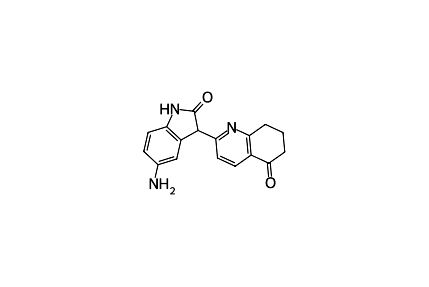 Nc1ccc2c(c1)C(c1ccc3c(n1)CCCC3=O)C(=O)N2